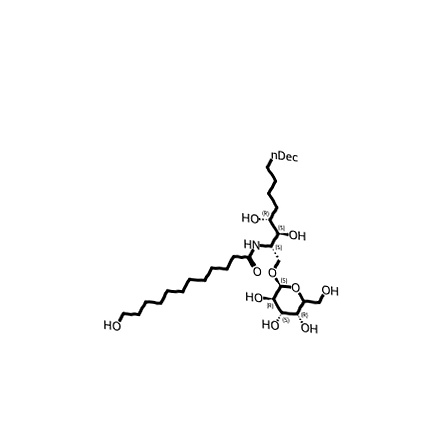 CCCCCCCCCCCCCC[C@@H](O)[C@@H](O)[C@H](CO[C@H]1OC(CO)[C@H](O)[C@H](O)[C@H]1O)NC(=O)CCCCCCCCCCCO